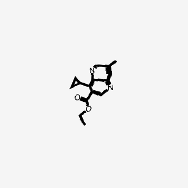 CCOC(=O)c1cnc2cc(C)cnc2c1C1CC1